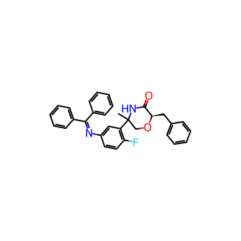 CC1(c2cc(N=C(c3ccccc3)c3ccccc3)ccc2F)CO[C@H](Cc2ccccc2)C(=O)N1